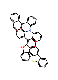 c1cc(-c2ccc3sc4ccccc4c3c2)cc(N(c2ccccc2-c2cccc3ccccc23)c2ccccc2-c2cccc3c2oc2ccccc23)c1